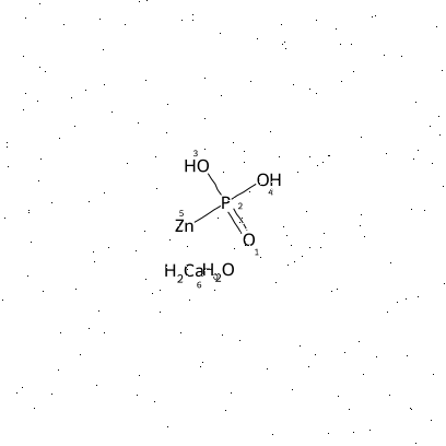 O.O=[P](O)(O)[Zn].[CaH2]